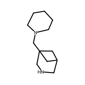 C1CCN(CC23CNCC(C2)C3)CC1